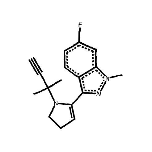 C#CC(C)(C)N1CCC=C1c1nn(C)c2cc(F)ccc12